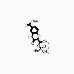 COC(=O)c1ccc2c(c1)NC(=O)C(C(C)O[Si](C)(C)C(C)(C)C)O2